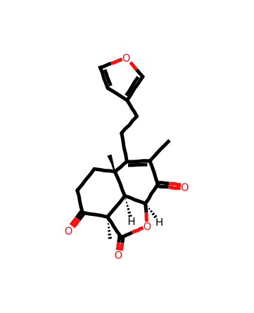 CC1=C(CCc2ccoc2)[C@@]2(C)CCC(=O)[C@]3(C)C(=O)O[C@H](C1=O)[C@@H]32